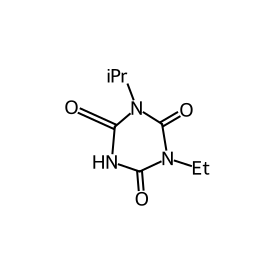 CCn1c(=O)[nH]c(=O)n(C(C)C)c1=O